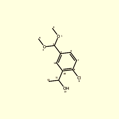 COC(OC)c1ccc(Cl)c(C(C)O)c1